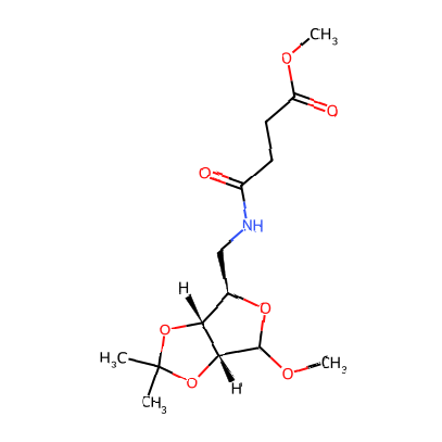 COC(=O)CCC(=O)NC[C@H]1OC(OC)[C@@H]2OC(C)(C)O[C@H]12